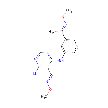 CO/N=C/c1c(N)ncnc1Nc1cccc(/C(C)=N/OC)c1